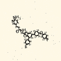 Nc1ccc(/C=C/C(=O)NCc2cc3cc(-c4ccc(Oc5ccc(F)cc5)cc4)cc(-c4ccc(F)cc4)c3o2)cn1